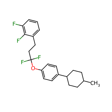 CC1CCC(c2ccc(OC(F)(F)CCc3cccc(F)c3F)cc2)CC1